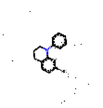 O=[N+]([O-])c1ccc2c(c1)N(c1ccccc1)CCC2